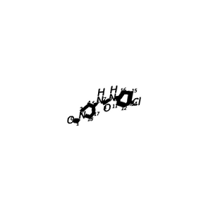 O=CN1CCC(NC(=O)Nc2ccc(Cl)cc2)CC1